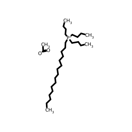 CC(=O)[O-].CCCCCCCCCCCCCCCC[P+](CCCC)(CCCC)CCCC